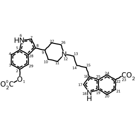 O=C(O)Oc1ccc2[nH]cc(C3CCN(CCCc4c[nH]c5ccc(C(=O)O)cc45)CC3)c2c1